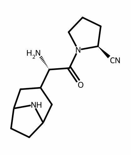 N#C[C@@H]1CCCN1C(=O)[C@@H](N)C1CC2CCC(C1)N2